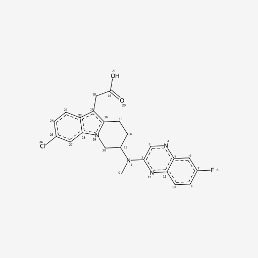 CN(c1cnc2cc(F)ccc2n1)C1CCc2c(CC(=O)O)c3ccc(Cl)cc3n2C1